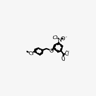 COc1ccc(COc2cc(C(=O)Cl)cc([N+](=O)[O-])c2)cc1